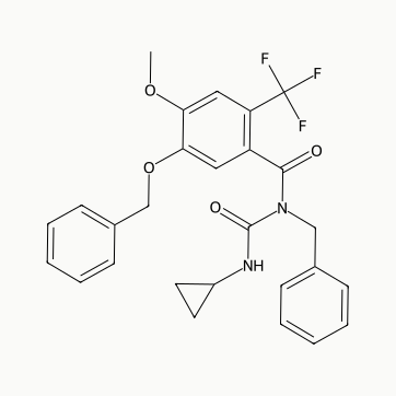 COc1cc(C(F)(F)F)c(C(=O)N(Cc2ccccc2)C(=O)NC2CC2)cc1OCc1ccccc1